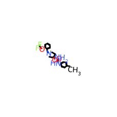 CCc1ccc(NC(=O)OC2(N)CCN(Cc3ccccc3OC(F)F)CC2)cc1